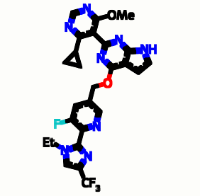 CCn1cc(C(F)(F)F)nc1-c1ncc(COc2nc(-c3c(OC)ncnc3C3CC3)nc3[nH]ccc23)cc1F